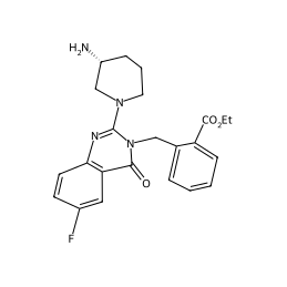 CCOC(=O)c1ccccc1Cn1c(N2CCC[C@@H](N)C2)nc2ccc(F)cc2c1=O